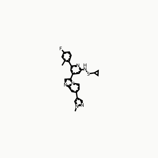 Cc1cc(F)ccc1-c1cc(-c2cnc3cc(-c4cnn(C)c4)ccn23)cc(NSC2CC2)n1